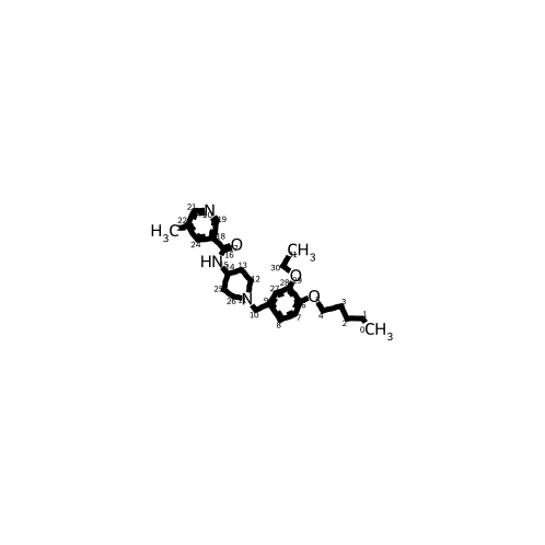 CCCCCOc1ccc(CN2CCC(NC(=O)c3cncc(C)c3)CC2)cc1OCC